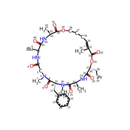 CCC(C)C1NC(=O)CN(C)C(=O)[C@@H](Cc2ccccc2)N(C)C(=O)[C@H](C)NC(=O)[C@@H](CC(C)C)OC(=O)/C(C)=C/CCCOC(=O)[C@H](C)NC1=O